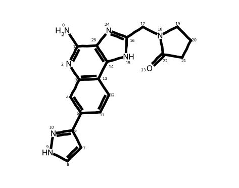 Nc1nc2cc(-c3cc[nH]n3)ccc2c2[nH]c(CN3CCCC3=O)nc12